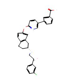 Cl.O=C(O)c1cccc(-c2ccc(Oc3ccc4c(c3)C[C@@H](NC[C@H](O)c3cccc(Cl)c3)CC4)nc2)c1